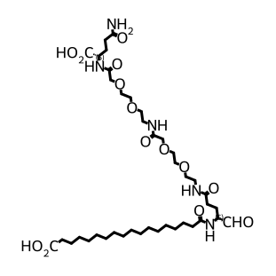 NC(=O)CC[C@H](NC(=O)COCCOCCNC(=O)COCCOCCNC(=O)CC[C@@H](C=O)NC(=O)CCCCCCCCCCCCCCCCC(=O)O)C(=O)O